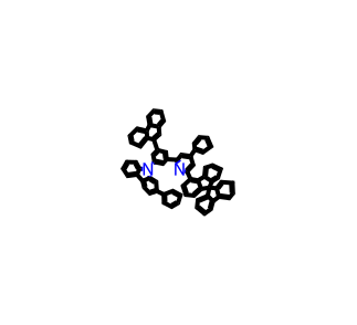 c1ccc(-c2cc(-c3cc(-c4cc5ccccc5c5ccccc45)cc(-n4c5ccccc5c5ccc(-c6ccccc6)cc54)c3)nc(-c3cccc4c3-c3ccccc3C43c4ccccc4-c4ccccc43)c2)cc1